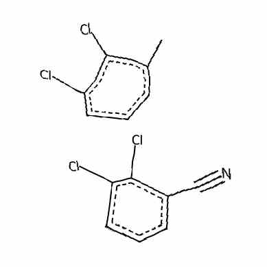 Cc1cccc(Cl)c1Cl.N#Cc1cccc(Cl)c1Cl